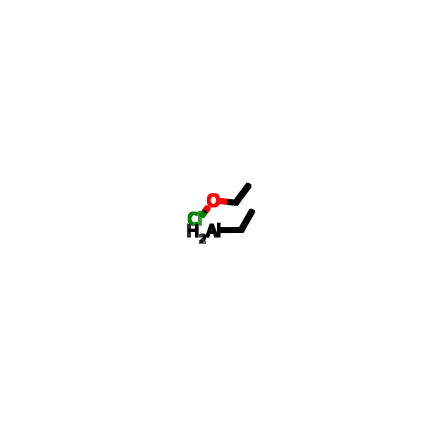 CCOCl.C[CH2][AlH2]